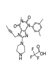 CC#CCn1c(N2CCNCC2)nc2c1c(=O)n(C)c(=O)n2-c1cc(C)cc(C)c1.O=C(O)C(F)(F)F